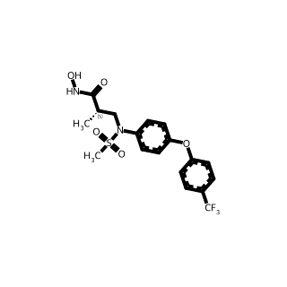 C[C@@H](CN(c1ccc(Oc2ccc(C(F)(F)F)cc2)cc1)S(C)(=O)=O)C(=O)NO